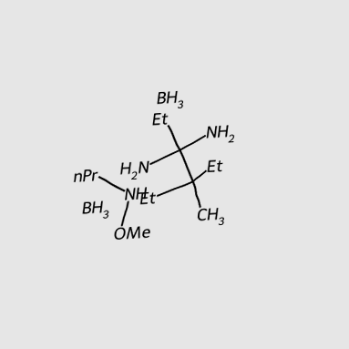 B.B.CCC(N)(N)C(C)(CC)CC.CCCNOC